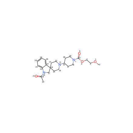 COCCOC(=O)N1CCC(N2CCC3(CC2)CN(C(C)=O)c2ccccc23)CC1